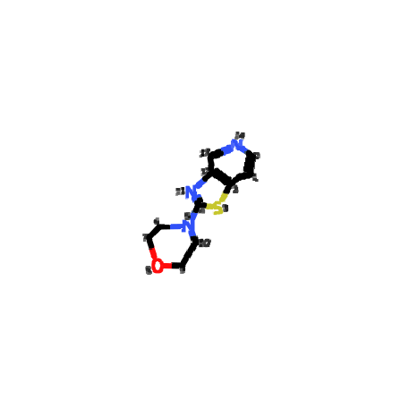 c1cc2sc(N3CCOCC3)nc2cn1